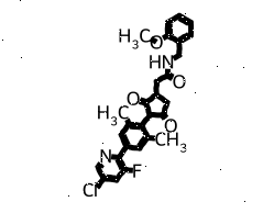 COc1ccccc1CNC(=O)CC1CC(=O)C(c2c(C)cc(-c3ncc(Cl)cc3F)cc2C)C1=O